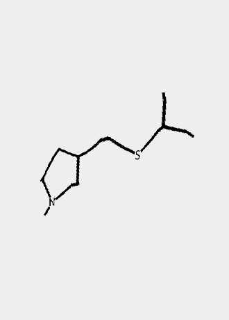 CC(C)SCC1CCN(C)C1